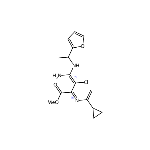 C=C(/N=C(C(=O)OC)\C(Cl)=C(/N)NC(C)c1ccco1)C1CC1